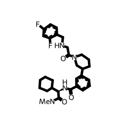 CNC(=O)[C@H](NC(=O)c1cccc(C2CCCN(C(=O)CNCc3ccc(F)cc3F)C2)c1)C1CCCCC1